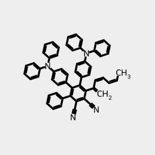 C=C(/C=C\C=C/C)c1c(C#N)c(C#N)c(-c2ccccc2)c(-c2ccc(N(c3ccccc3)c3ccccc3)cc2)c1-c1ccc(N(c2ccccc2)c2ccccc2)cc1